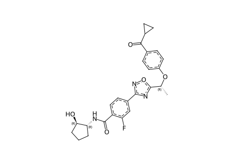 C[C@@H](Oc1ccc(C(=O)C2CC2)cc1)c1nc(-c2ccc(C(=O)N[C@@H]3CCC[C@H]3O)c(F)c2)no1